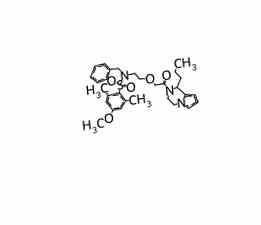 CCCC1c2cccn2CCN1C(=O)COCCN(Cc1ccccc1)S(=O)(=O)c1c(C)cc(OC)cc1C